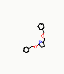 c1ccc(COCC2CCC(OCc3ccccc3)=N2)cc1